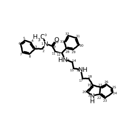 CN(Cc1ccccc1)C(=O)C[C@H](NCCNCCc1c[nH]c2ccccc12)c1ccccc1